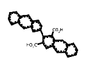 O=C(O)c1cc2cc3ccccc3cc2c(C(=O)O)c1-c1ccc2cc3ccccc3cc2c1